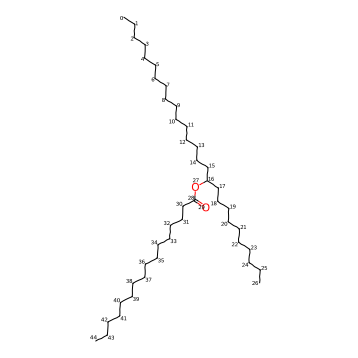 CCCCCCCCCCCCCCCCC(CCCCCCCCCC)OC(=O)CCCCCCCCCCCCCCC